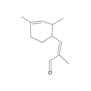 CC(C=O)=CC1CCC(C)=CC1C